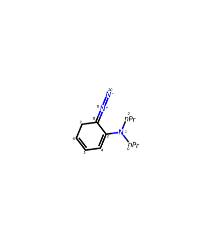 CCCN(CCC)C1=CC=CCC1=[N+]=[N-]